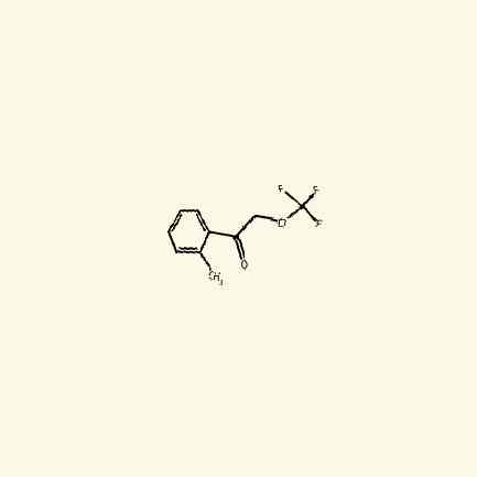 Cc1ccccc1C(=O)COC(F)(F)F